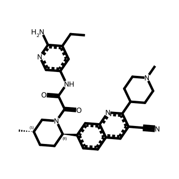 CCc1cc(NC(=O)C(=O)N2C[C@@H](C)CC[C@@H]2c2ccc3cc(C#N)c(C4CCN(C)CC4)nc3c2)cnc1N